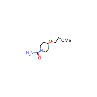 COCCOC1CCN(C(N)=O)CC1